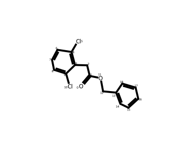 O=C(Cc1c(Cl)cccc1Cl)OCc1ccccc1